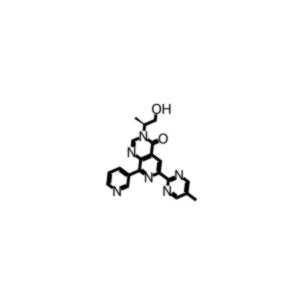 Cc1cnc(-c2cc3c(=O)n([C@@H](C)CO)cnc3c(-c3cccnc3)n2)nc1